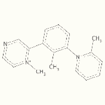 Cc1c(-c2cncc[n+]2C)cccc1-[n+]1ccccc1C